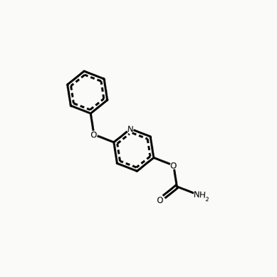 NC(=O)Oc1ccc(Oc2ccccc2)nc1